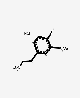 CNCCc1ccc(F)c(OC)c1.Cl